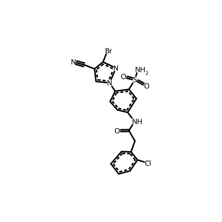 N#Cc1cn(-c2ccc(NC(=O)Cc3ccccc3Cl)cc2S(N)(=O)=O)nc1Br